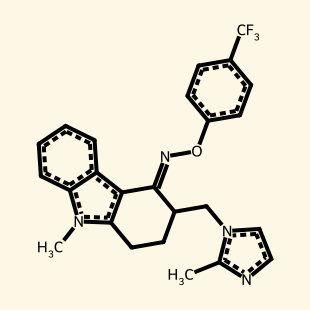 Cc1nccn1CC1CCc2c(c3ccccc3n2C)/C1=N/Oc1ccc(C(F)(F)F)cc1